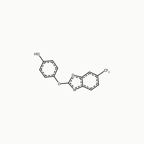 Oc1ccc(Oc2nc3ccc(C(F)(F)F)cc3o2)cc1